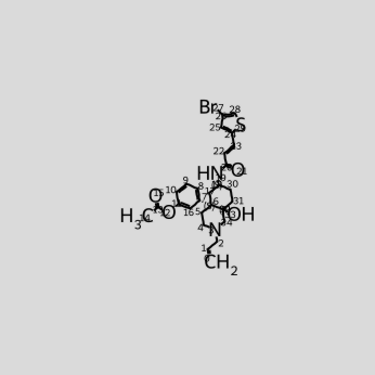 C=CCN1CC[C@@]2(c3cccc(OC(C)=O)c3)C[C@@H](NC(=O)C=Cc3cc(Br)cs3)CC[C@]2(O)C1